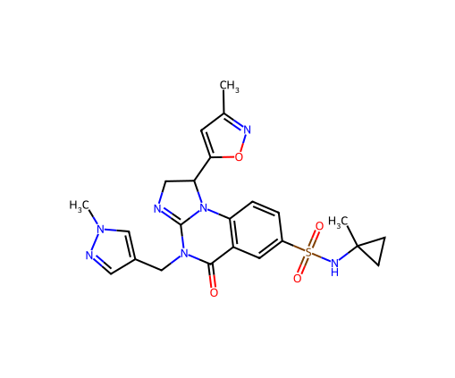 Cc1cc(C2CN=C3N(Cc4cnn(C)c4)C(=O)c4cc(S(=O)(=O)NC5(C)CC5)ccc4N32)on1